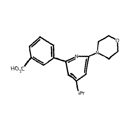 CC(C)c1cc(-c2cccc(C(=O)O)c2)nc(N2CCOCC2)c1